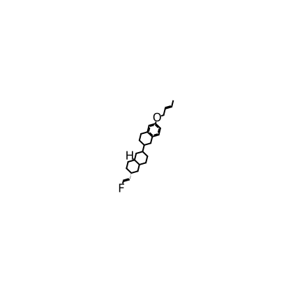 C/C=C/COc1ccc2c(c1)CCC(C1CCC3C[C@H](C=CF)CC[C@@H]3C1)C2